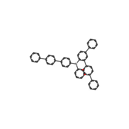 c1ccc(-c2ccc(-c3ccc(N(c4ccccc4)c4ccc(-c5ccccc5)cc4-c4ccc(-c5ccccc5)cc4)cc3)cc2)cc1